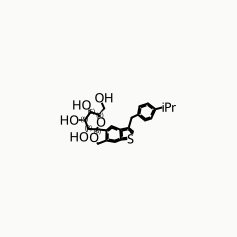 CC(C)c1ccc(Cc2csc3cc4c(cc23)[C@]2(OC4)O[C@H](CO)[C@@H](O)[C@H](O)[C@H]2O)cc1